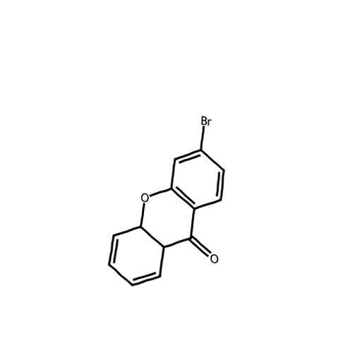 O=C1c2ccc(Br)cc2OC2C=CC=CC12